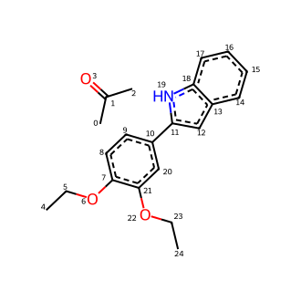 CC(C)=O.CCOc1ccc(-c2cc3ccccc3[nH]2)cc1OCC